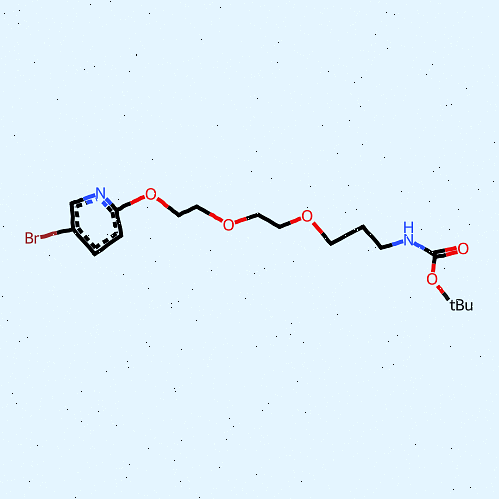 CC(C)(C)OC(=O)NCCCOCCOCCOc1ccc(Br)cn1